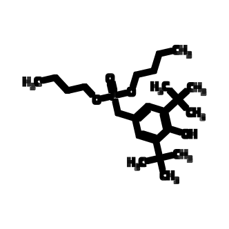 CCCCOP(=O)(Cc1cc(C(C)(C)C)c(O)c(C(C)(C)C)c1)OCCCC